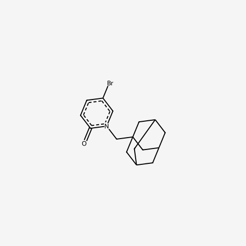 O=c1ccc(Br)cn1CC12CC3CC(CC(C3)C1)C2